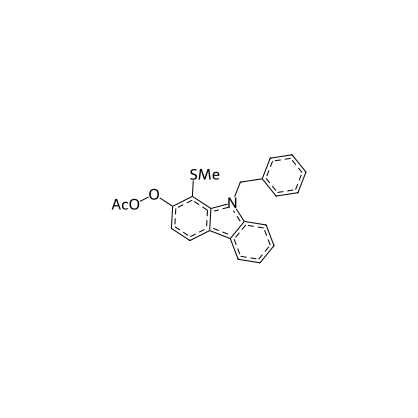 CSc1c(OOC(C)=O)ccc2c3ccccc3n(Cc3ccccc3)c12